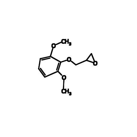 COc1cccc(OC)c1OCC1CO1